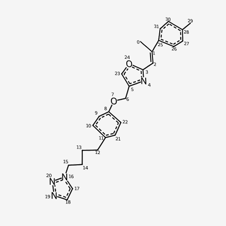 C/C(=C\c1nc(COc2ccc(CCCCn3ccnn3)cc2)co1)c1ccc(C)cc1